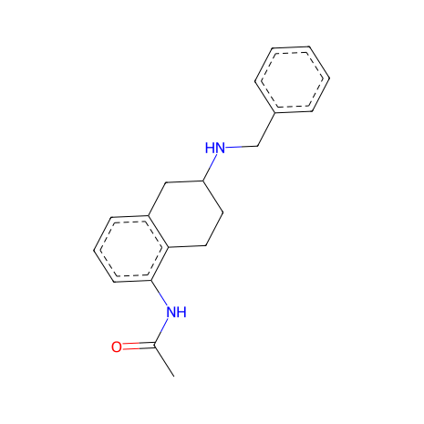 CC(=O)Nc1cccc2c1CCC(NCc1ccccc1)C2